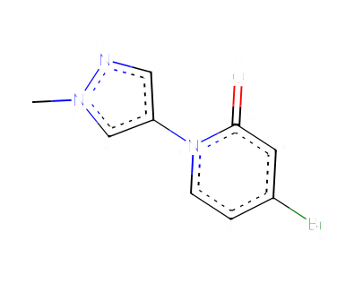 Cn1cc(-n2ccc(Br)cc2=O)cn1